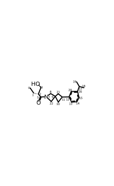 CC[C@H](CO)C(=O)N1CC2(CC(c3cccc(C(C)C)c3)C2)C1